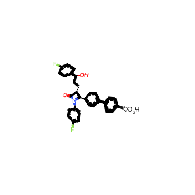 O=C(O)c1ccc(-c2ccc([C@@H]3[C@@H](CC[C@H](O)c4ccc(F)cc4)C(=O)N3c3ccc(F)cc3)cc2)cc1